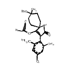 COC1(C)CCC2(CC1)NC(=O)C(c1c(C)cc(Cl)cc1C)=C2OC(=O)C(C)C